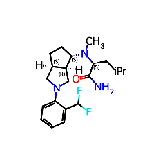 CC(C)C[C@@H](C(N)=O)N(C)[C@H]1CC[C@@H]2CN(c3ccccc3C(F)F)C[C@@H]21